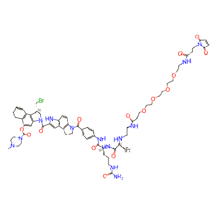 CC(C)[C@H](NCCNC(=O)CCOCCOCCOCCOCCNC(=O)CCN1C(=O)C=CC1=O)C(=O)N[C@@H](CCCNC(N)=O)C(=O)Nc1ccc(C(=O)N2CCc3c2ccc2[nH]c(C(=O)N4C[C@@H](CBr)c5c4cc(OC(=O)N4CCN(C)CC4)c4c5C=CCC4)cc32)cc1